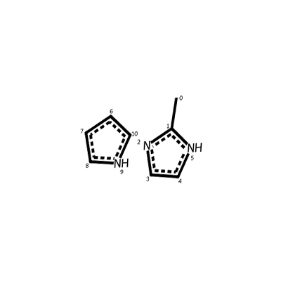 Cc1ncc[nH]1.c1cc[nH]c1